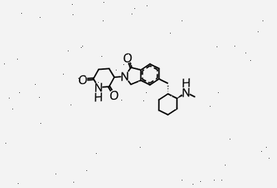 CN[C@H]1CCCC[C@@H]1Cc1ccc2c(c1)CN(C1CCC(=O)NC1=O)C2=O